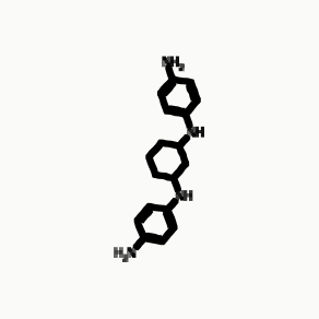 Nc1ccc(NC2CCCC(Nc3ccc(N)cc3)C2)cc1